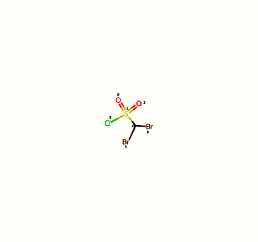 O=S(=O)(Cl)C(Br)Br